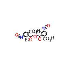 CCc1c(N=C=O)ccc(C(=O)O)c1C(=O)COCC(=O)c1c(C(=O)O)ccc(N=C=O)c1CC